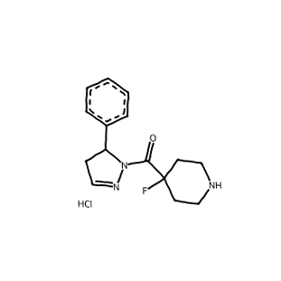 Cl.O=C(N1N=CCC1c1ccccc1)C1(F)CCNCC1